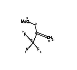 C=C(COC)C(F)(F)F